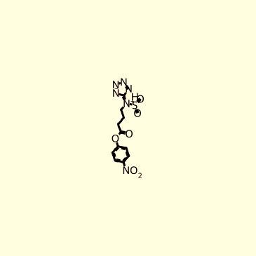 O=C(CCC[N+](=C1N=NN=N1)[SH](=O)=O)Oc1ccc([N+](=O)[O-])cc1